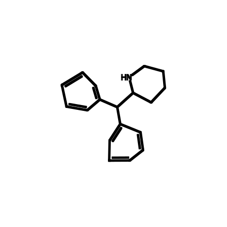 c1ccc(C(c2ccccc2)C2CCCCN2)cc1